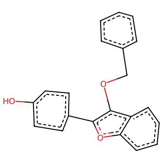 Oc1ccc(-c2oc3ccccc3c2OCc2ccccc2)cc1